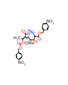 CO[C@@H](C(=O)C(=[N+]=[N-])C(=O)OCc1ccc([N+](=O)[O-])cc1)[C@H]1NC(=O)[C@@H]1[C@@H](C)OC(=O)OCc1ccc([N+](=O)[O-])cc1